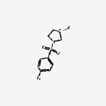 O=S(=O)(c1ccc(Br)cc1)N1CC[C@H](F)C1